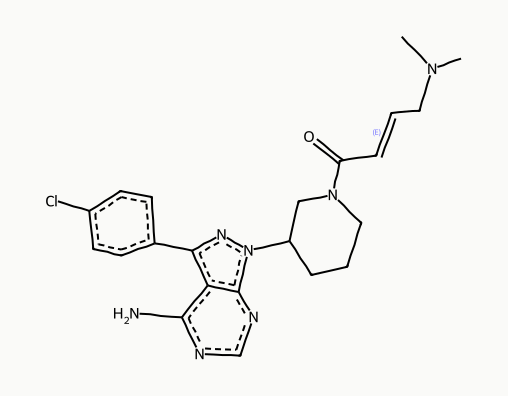 CN(C)C/C=C/C(=O)N1CCCC(n2nc(-c3ccc(Cl)cc3)c3c(N)ncnc32)C1